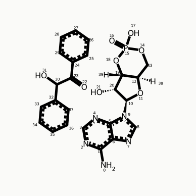 Nc1ncnc2c1ncn2[C@@H]1O[C@@H]2COP(=O)(O)O[C@H]2[C@H]1O.O=C(c1ccccc1)C(O)c1ccccc1